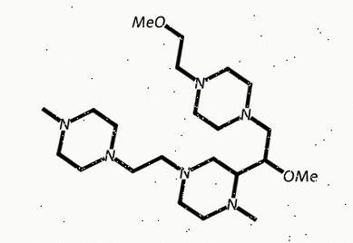 COCCN1CCN(CC(OC)C2CN(CCN3CCN(C)CC3)CCN2C)CC1